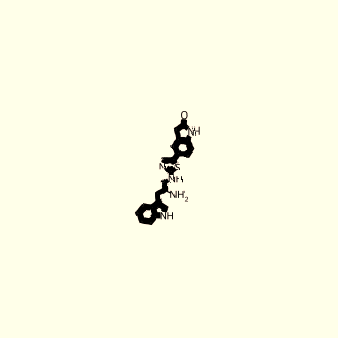 N[C@@H](CNc1ncc(-c2ccc3c(c2)CC(=O)N3)s1)Cc1c[nH]c2ccccc12